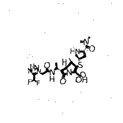 CC(NC(=O)Cn1nnnc1C(F)F)[C@H]1C(=O)N2C(C(=O)O)=C(S[C@@H]3CN[C@H](C(=O)N(C)C)C3)[C@H](C)[C@H]12